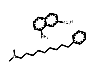 CN(C)CCCCCCCCCc1ccccc1.Nc1cccc2ccc(S(=O)(=O)O)cc12